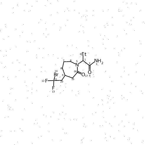 CCC(C(N)=O)N1CCCC(CC(F)(F)Br)CC1=O